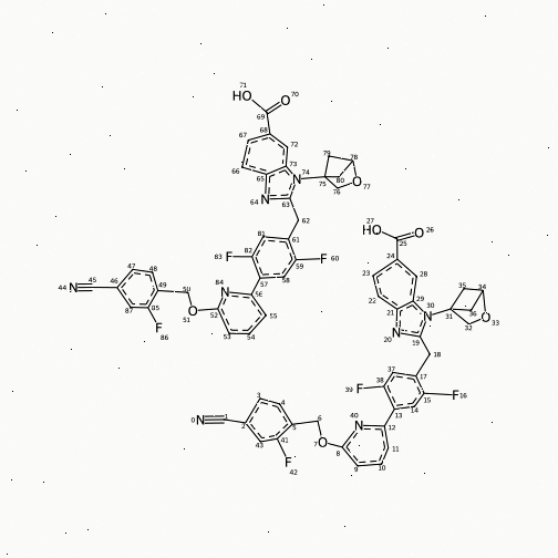 N#Cc1ccc(COc2cccc(-c3cc(F)c(Cc4nc5ccc(C(=O)O)cc5n4C45COC(C4)C5)cc3F)n2)c(F)c1.N#Cc1ccc(COc2cccc(-c3cc(F)c(Cc4nc5ccc(C(=O)O)cc5n4C45COC(C4)C5)cc3F)n2)c(F)c1